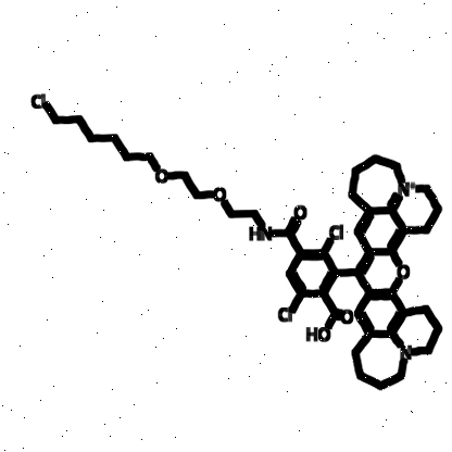 O=C(NCCOCCOCCCCCCCl)c1cc(Cl)c(C(=O)O)c(C2=c3cc4c5c(c3Oc3c2cc2c6c3CCCN6CCCC2)CCC[N+]=5CCCC4)c1Cl